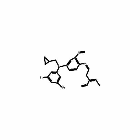 C=C/C(=C\C)C/C=N\c1ccc(N(CC2CC2)c2cc(CC)cc(C(C)C)c2)cc1N=C